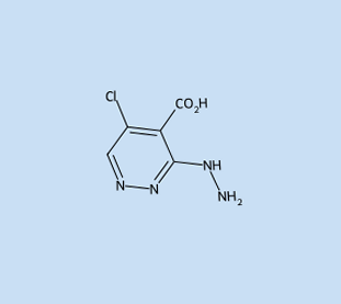 NNc1nncc(Cl)c1C(=O)O